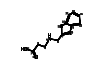 O=C(O)CCNCc1nc2ccccc2s1